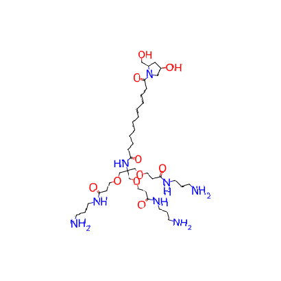 NCCCNC(=O)CCOCC(COCCC(=O)NCCCN)(COCCC(=O)NCCCN)NC(=O)CCCCCCCCCCC(=O)N1C[C@H](O)CC1CO